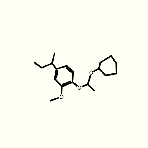 CCC(C)c1ccc(OC(C)OC2CCCCC2)c(OC)c1